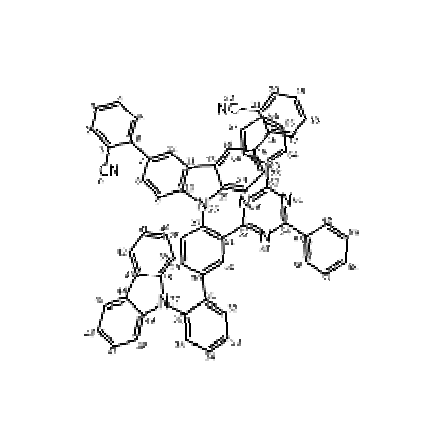 N#Cc1ccccc1-c1ccc2c(c1)c1cc(-c3ccccc3C#N)ccc1n2-c1ccc(-c2ccccc2-n2c3ccccc3c3ccccc32)cc1-c1nc(-c2ccccc2)nc(-c2ccccc2)n1